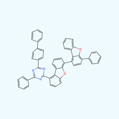 c1ccc(-c2ccc(-c3nc(-c4ccccc4)nc(-c4cccc5oc6c(-c7ccc(-c8ccccc8)c8oc9ccccc9c78)cccc6c45)n3)cc2)cc1